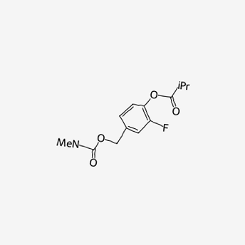 CNC(=O)OCc1ccc(OC(=O)C(C)C)c(F)c1